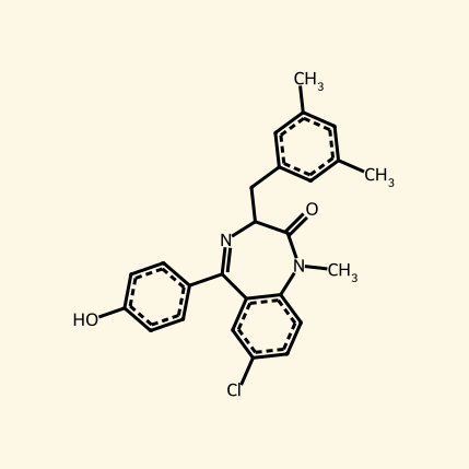 Cc1cc(C)cc(CC2N=C(c3ccc(O)cc3)c3cc(Cl)ccc3N(C)C2=O)c1